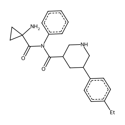 CCc1ccc(C2CNCC(C(=O)N(C(=O)C3(N)CC3)c3ccccc3)C2)cc1